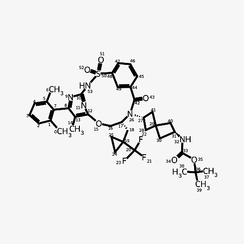 Cc1cccc(C)c1-c1nc2nc(c1C)OC[C@@H](CC1(C(F)(F)F)CC1)N([C@H]1CC3(C[C@H](NC(=O)OC(C)(C)C)C3)C1)C(=O)c1cccc(c1)S(=O)(=O)N2